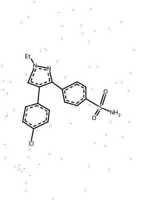 CCn1cc(-c2ccc(Cl)cc2)c(-c2ccc(S(N)(=O)=O)cc2)n1